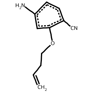 C=CCCOc1cc(N)ccc1C#N